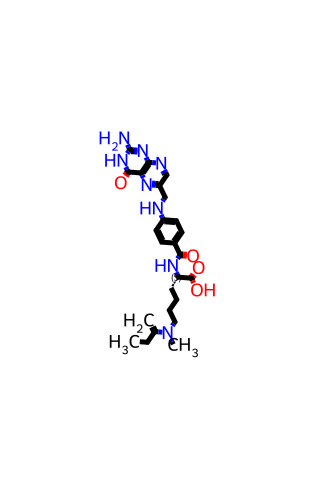 C=C(CC)N(C)CCCC[C@H](NC(=O)c1ccc(NCc2cnc3nc(N)[nH]c(=O)c3n2)cc1)C(=O)O